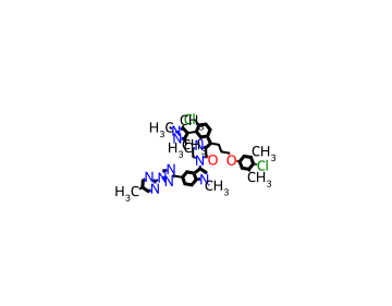 Cc1cnc(-n2cnc(-c3ccc4c(c3)c(N3CC(C)n5c(c(CCCOc6cc(C)c(Cl)c(C)c6)c6ccc(Cl)c(-c7c(C)nn(C)c7C)c65)C3=O)cn4C)n2)nc1